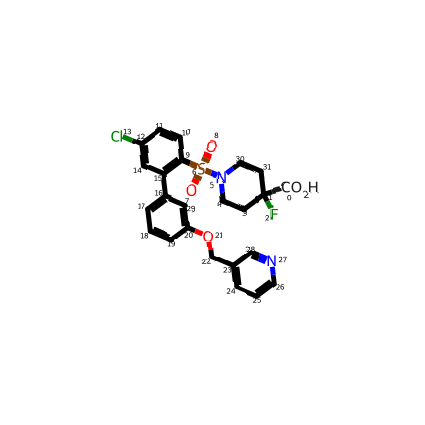 O=C(O)C1(F)CCN(S(=O)(=O)c2ccc(Cl)cc2-c2cccc(OCc3cccnc3)c2)CC1